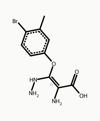 Cc1cc(O/C(NN)=C(/N)C(=O)O)ccc1Br